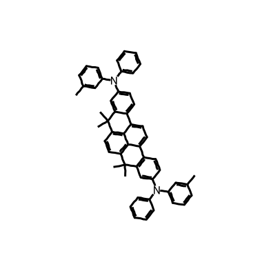 Cc1cccc(N(c2ccccc2)c2ccc3c(c2)C(C)(C)c2ccc4c5c(ccc-3c25)-c2ccc(N(c3ccccc3)c3cccc(C)c3)cc2C4(C)C)c1